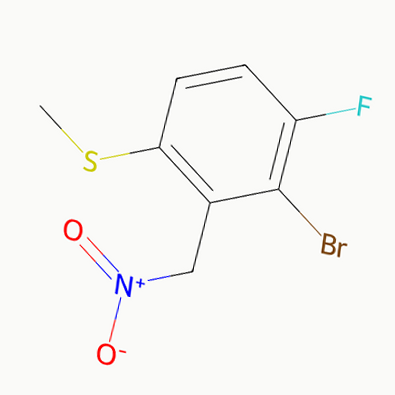 CSc1ccc(F)c(Br)c1C[N+](=O)[O-]